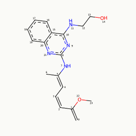 C=C(/C=C\C=C(/C)Nc1nc(NCCO)c2ccccc2n1)OC